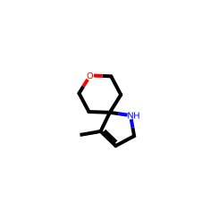 CC1=CCNC12CCOCC2